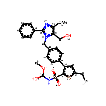 CCOC(O)NS(=O)(=O)c1sc(CC(C)C)cc1-c1ccc(Cn2c(-c3ccccc3)nc(OC)c2CO)cc1